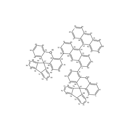 c1ccc2c(c1)Oc1c(-c3cccc4c(-c5c6ccccc6cc6ccccc56)c5cccc(-c6cccc7c6Oc6ccccc6C76c7ccccc7-c7ccccc76)c5cc34)cccc1C21c2ccccc2-c2ccccc21